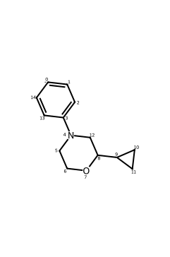 [c]1ccc(N2CCOC(C3CC3)C2)cc1